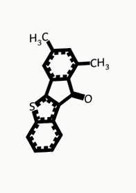 Cc1cc(C)c2c(c1)-c1sc3ccccc3c1C2=O